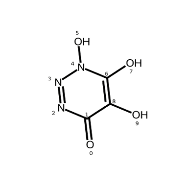 O=c1nnn(O)c(O)c1O